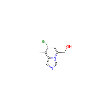 Cc1c(Br)cc(CO)n2cncc12